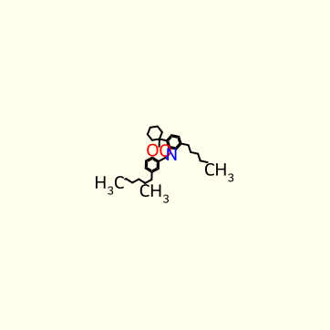 CCCCCCc1ccc(C2(C(=O)Oc3ccc(CC(C)CCCC)cc3C#N)CCCCC2)cc1